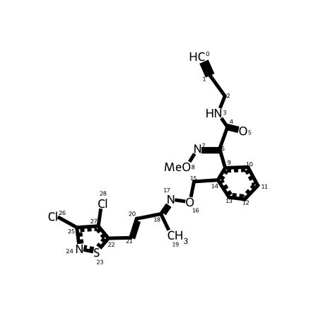 C#CCNC(=O)/C(=N/OC)c1ccccc1CO/N=C(C)/C=C/c1snc(Cl)c1Cl